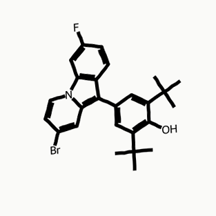 CC(C)(C)c1cc(-c2c3ccc(F)cc3n3ccc(Br)cc23)cc(C(C)(C)C)c1O